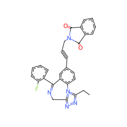 CCc1nnc2n1-c1ccc(C#CCN3C(=O)c4ccccc4C3=O)cc1C(c1ccccc1F)=NC2